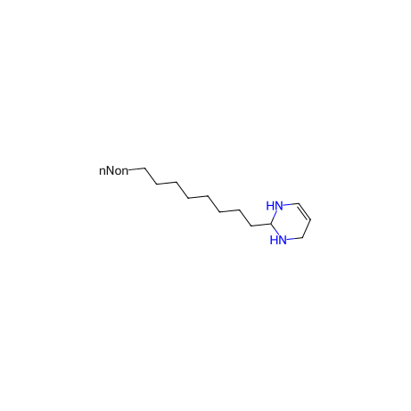 CCCCCCCCCCCCCCCCCC1NC=CCN1